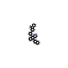 CC1(C)c2ccccc2-c2ccc(-c3cccc(-c4c5ccccc5c(-c5ccc6ccccc6c5)c5ccncc45)c3)cc21